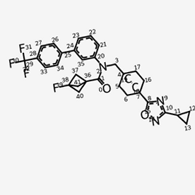 O=C(N(CC12CCC(c3nc(C4CC4)no3)(CC1)CC2)c1cccc(-c2ccc(C(F)(F)F)cc2)c1)C12CC(F)(C1)C2